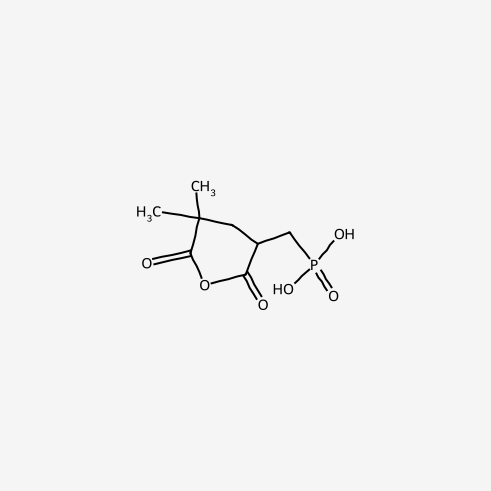 CC1(C)CC(CP(=O)(O)O)C(=O)OC1=O